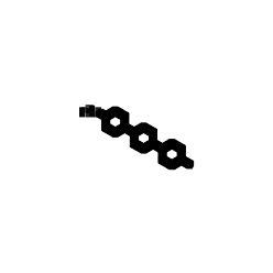 CCCCC1CCC(C2CCC(C3CCC(C)CC3)CC2)CC1